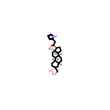 CC[C@@]1(O)CC[C@H]2[C@H](CC[C@@H]3[C@@H]2CC[C@]2(C)[C@@H](C(=O)Cc4ccc[nH]4)CC[C@@H]32)C1